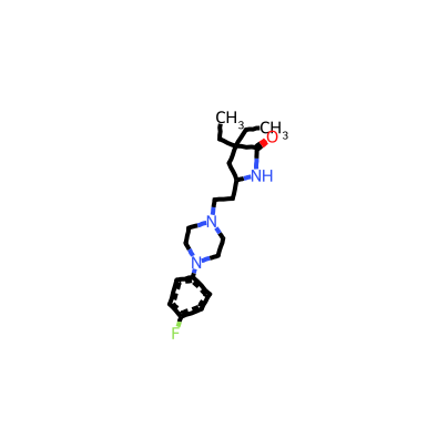 CCC1(CC)CC(CCN2CCN(c3ccc(F)cc3)CC2)NC1=O